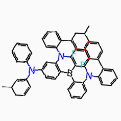 CC1C=C(N(c2ccccc2)c2ccc3c(c2)N(c2ccccc2C2=C(F)C=CC(C)C2)c2cccc4c2B3c2ccccc2N4c2ccccc2-c2ccccc2F)C=CC1